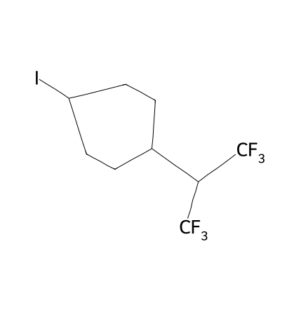 FC(F)(F)C(C1CCC(I)CC1)C(F)(F)F